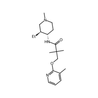 CC[C@H]1CN(C)CC[C@@H]1NC(=O)C(C)(C)COc1ncccc1C